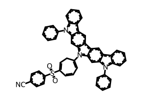 N#Cc1ccc(S(=O)(=O)C2=CCC(n3c4cc5c(cc4c4cc6c7ccccc7n(-c7ccccc7)c6cc43)c3ccccc3n5-c3ccccc3)=CC=C2)cc1